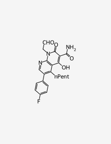 CCCCCc1c(-c2ccc(F)cc2)cnc2c1c(O)c(C(N)=O)c(=O)n2CC=O